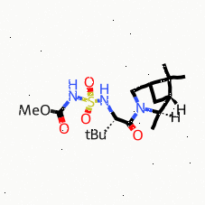 COC(=O)NS(=O)(=O)N[C@H](C(=O)N1CC2C[C@@H]([C@H]1C)C2(C)C)C(C)(C)C